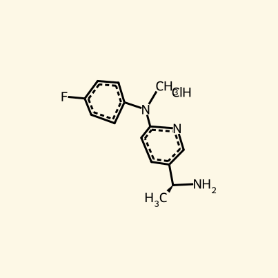 C[C@H](N)c1ccc(N(C)c2ccc(F)cc2)nc1.Cl